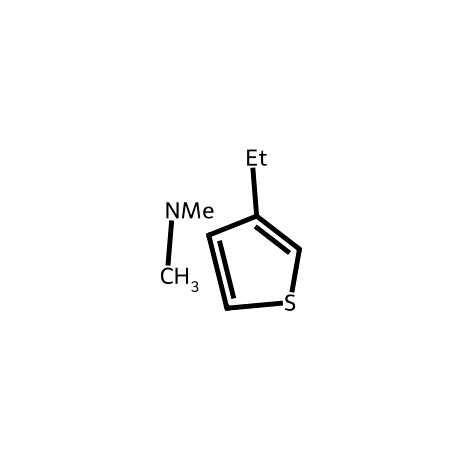 CCc1ccsc1.CNC